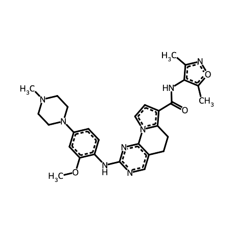 COc1cc(N2CCN(C)CC2)ccc1Nc1ncc2c(n1)-n1ccc(C(=O)Nc3c(C)noc3C)c1CC2